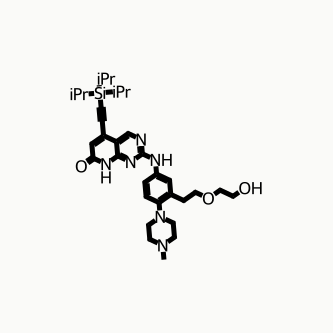 CC(C)[Si](C#Cc1cc(=O)[nH]c2nc(Nc3ccc(N4CCN(C)CC4)c(CCOCCO)c3)ncc12)(C(C)C)C(C)C